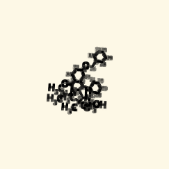 CC(C)Cn1c(C(NC(=O)O)C(C)(C)C)c(-c2ccccc2)c2cc(OCc3ccccc3)ccc2c1=O